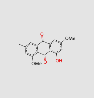 COc1cc(O)c2c(c1)C(=O)c1cc(C)cc(OC)c1C2=O